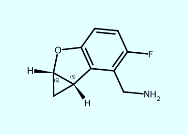 NCc1c(F)ccc2c1[C@@H]1C[C@@H]1O2